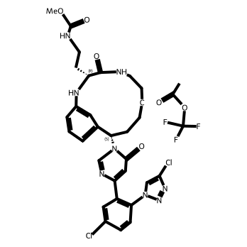 CC(=O)OC(F)(F)F.COC(=O)NCC[C@H]1Nc2cccc(c2)[C@@H](n2cnc(-c3cc(Cl)ccc3-n3cc(Cl)nn3)cc2=O)CCCCCNC1=O